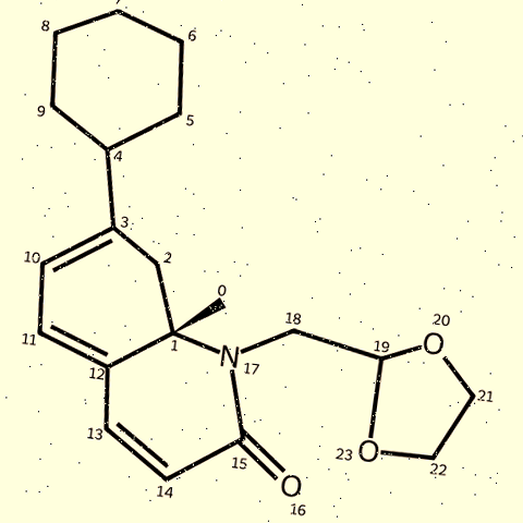 C[C@]12CC(C3CCCCC3)=CC=C1C=CC(=O)N2CC1OCCO1